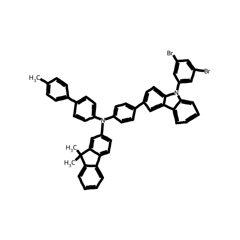 Cc1ccc(-c2ccc(N(c3ccc(-c4ccc5c(c4)c4ccccc4n5-c4cc(Br)cc(Br)c4)cc3)c3ccc4c(c3)C(C)(C)c3ccccc3-4)cc2)cc1